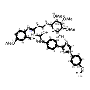 COc1ccc(/N=C(\NC(O)Nc2ccc(-c3ncn(-c4ccc(OC(F)(F)F)cc4)n3)cc2)SCS[C@@H]2O[C@@H](C)[C@H](OC)[C@@H](OC)[C@H]2OC)c(C)c1